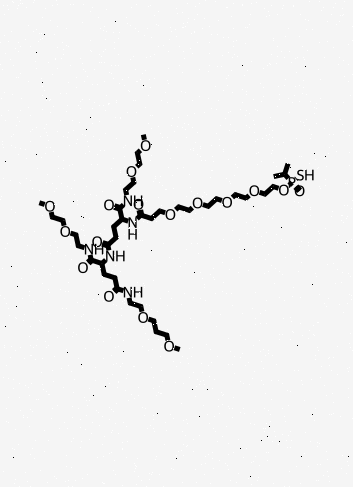 COCCCOCCNC(=O)CCC(NC(=O)CCC(NC(=O)CCOCCOCCOCCOCCOP(=O)(S)C(C)C)C(=O)NCCOCCOC)C(=O)NCCOCCOC